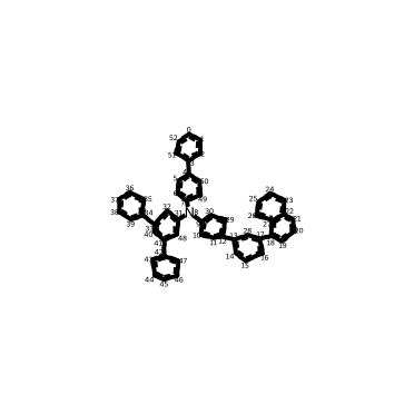 c1ccc(-c2ccc(N(c3ccc(-c4cccc(-c5cccc6ccccc56)c4)cc3)c3cc(-c4ccccc4)cc(-c4ccccc4)c3)cc2)cc1